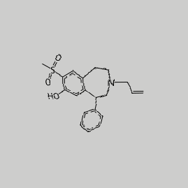 C=CCN1CCc2cc(S(C)(=O)=O)c(O)cc2C(c2ccccc2)C1